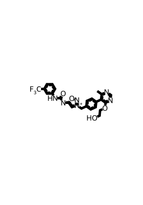 Cc1ncnc(OCCO)c1-c1ccc(C[n+]2cc([N-]C(=O)Nc3cccc(C(F)(F)F)c3)on2)cc1